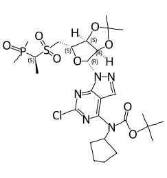 C[C@@H](P(C)(C)=O)S(=O)(=O)C[C@H]1O[C@@H](n2ncc3c(N(C(=O)OC(C)(C)C)C4CCCC4)nc(Cl)nc32)[C@@H]2OC(C)(C)O[C@@H]21